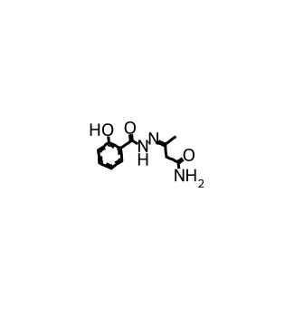 C/C(CC(N)=O)=N/NC(=O)c1ccccc1O